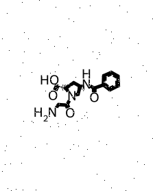 NCC(=O)N1C[C@H](NC(=O)c2ccccc2)C[C@H]1C(=O)O